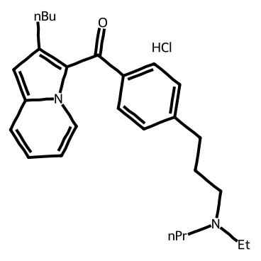 CCCCc1cc2ccccn2c1C(=O)c1ccc(CCCN(CC)CCC)cc1.Cl